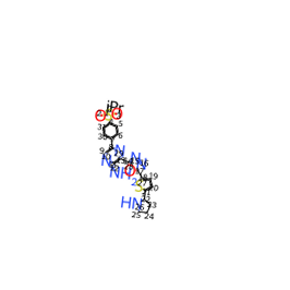 CC(C)S(=O)(=O)c1ccc(-c2cnc(N)c(-c3nnc(-c4ccc(C5CCCN5)s4)o3)n2)cc1